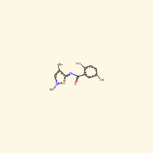 CCCCc1cn(C(C)(C)C)sc1=NC(=O)c1cc(C#N)ccc1O